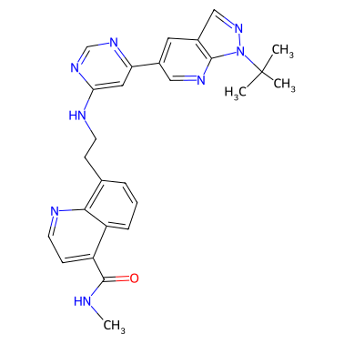 CNC(=O)c1ccnc2c(CCNc3cc(-c4cnc5c(cnn5C(C)(C)C)c4)ncn3)cccc12